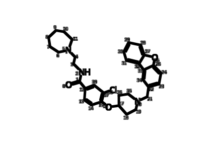 O=C(NCCN1CCCCCC1)c1ccc(OC2CCN(Cc3ccc4oc5ccccc5c4c3)CC2)c(Cl)c1